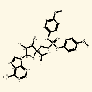 COc1ccc(OP(=O)(OC[C@@]2(C(F)F)O[C@@H](n3cnc4c(N)ncnc43)C(F)C2O)Oc2ccc(OC)cc2)cc1